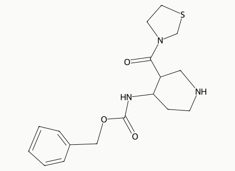 O=C(NC1CCNCC1C(=O)N1CCSC1)OCc1ccccc1